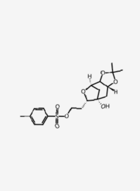 Cc1ccc(S(=O)(=O)OCC[C@@H]2O[C@@H]3C[C@@]2(O)C[C@H]2OC(C)(C)OC32)cc1